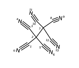 N#CC(C#N)(C#N)C(C#N)(C#N)C#N